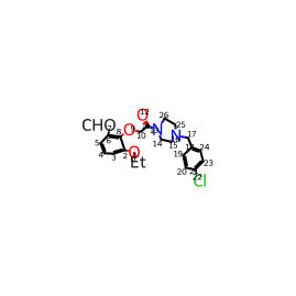 CCOc1cccc(C=O)c1OCC(=O)N1CCN(Cc2ccc(Cl)cc2)CC1